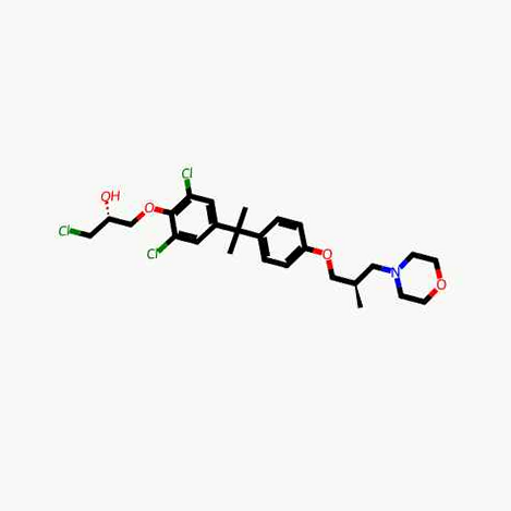 C[C@@H](COc1ccc(C(C)(C)c2cc(Cl)c(OC[C@@H](O)CCl)c(Cl)c2)cc1)CN1CCOCC1